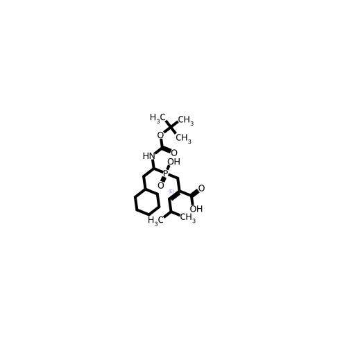 CC(C)/C=C(/CP(=O)(O)C(CC1CCCCC1)NC(=O)OC(C)(C)C)C(=O)O